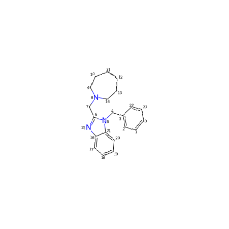 c1ccc(Cn2c(CN3CCCCCC3)nc3ccccc32)cc1